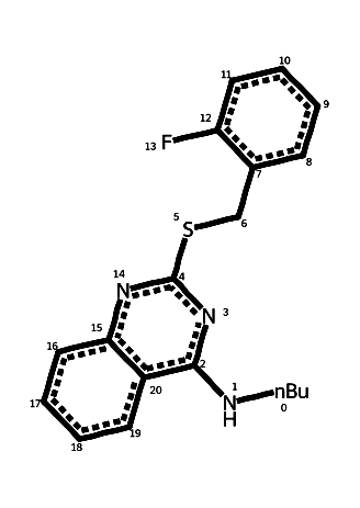 CCCCNc1nc(SCc2ccccc2F)nc2ccccc12